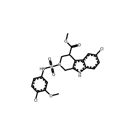 COC(=O)C1CN(S(=O)(=O)Nc2ccc(Cl)c(OC)c2)Cc2[nH]c3ccc(Cl)cc3c21